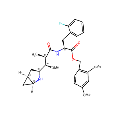 COc1ccc(COC(=O)[C@H](Cc2ccccc2F)NC(=O)[C@H](C)[C@@H](OC)[C@@H]2C[C@@H]3C[C@@H]3N2)c(OC)c1